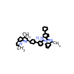 Cc1ccc2ccc3c(C)cc(-c4ccc(-c5cccc(/C(N)=N/C(=N\C(C)c6ccccc6)c6ccc(-c7ccccc7)cc6)c5)cc4)nc3c2n1